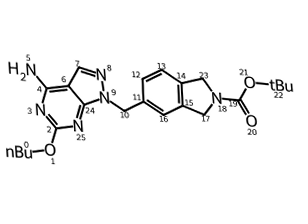 CCCCOc1nc(N)c2cnn(Cc3ccc4c(c3)CN(C(=O)OC(C)(C)C)C4)c2n1